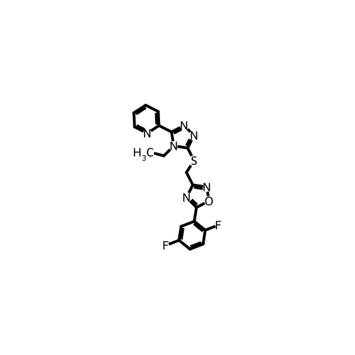 CCn1c(SCc2noc(-c3cc(F)ccc3F)n2)nnc1-c1ccccn1